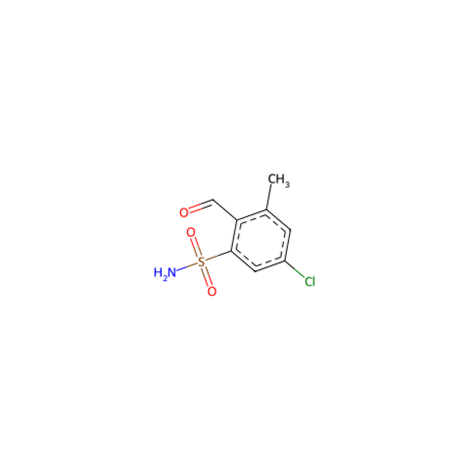 Cc1cc(Cl)cc(S(N)(=O)=O)c1C=O